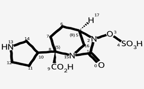 O=C1N(OS(=O)(=O)O)[C@@H]2CC[C@@](C(=O)O)(C3CCNC3)N1C2